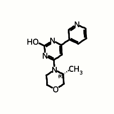 C[C@@H]1COCCN1c1cc(-c2cccnc2)nc(O)n1